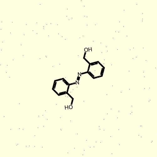 OCc1ccccc1/N=N/c1ccccc1CO